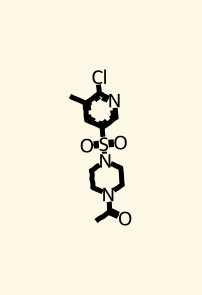 CC(=O)N1CCN(S(=O)(=O)c2cnc(Cl)c(C)c2)CC1